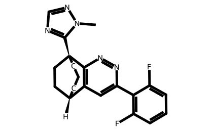 Cn1ncnc1[C@@]12CCC[C@@H](CC1)c1cc(-c3c(F)cccc3F)nnc12